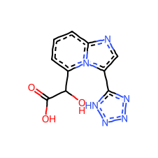 O=C(O)C(O)c1cccc2ncc(-c3nnn[nH]3)n12